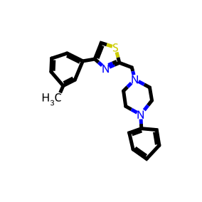 Cc1cccc(-c2csc(CN3CCN(c4ccccc4)CC3)n2)c1